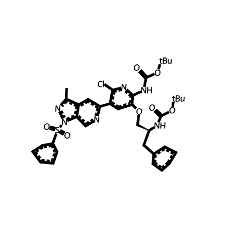 Cc1nn(S(=O)(=O)c2ccccc2)c2cnc(-c3cc(OC[C@H](Cc4ccccc4)NC(=O)OC(C)(C)C)c(NC(=O)OC(C)(C)C)nc3Cl)cc12